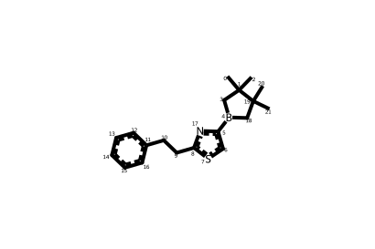 CC1(C)CB(c2csc(CCc3ccccc3)n2)CC1(C)C